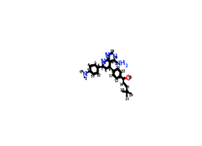 CN(C)c1ccc(-c2cc(-c3ccc(C(=O)C=CC(C)(C)C)cc3)c3c(N)ncnc3n2)cc1